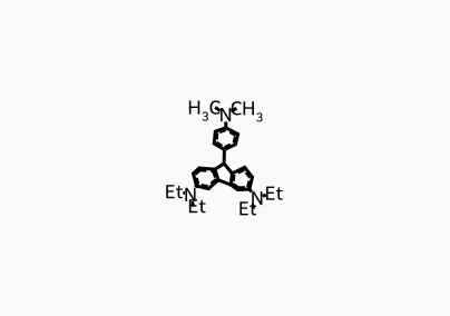 CCN(CC)c1ccc2c(c1)-c1cc(N(CC)CC)ccc1C2c1ccc(N(C)C)cc1